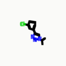 CC(C)n1cc(-c2cccc(Cl)c2)nn1